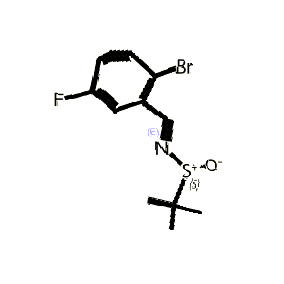 CC(C)(C)[S@@+]([O-])/N=C/c1cc(F)ccc1Br